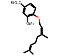 CCOC(=O)c1ccc(OCC=C(C)CCC=C(C)C)c(OC)c1